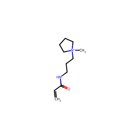 C=CC(=O)NCCC[N+]1(C)CCCC1